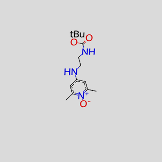 Cc1cc(NCCNC(=O)OC(C)(C)C)cc(C)[n+]1[O-]